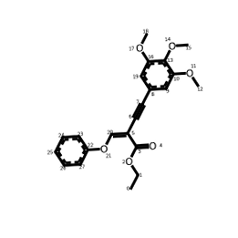 CCOC(=O)C(C#Cc1cc(OC)c(OC)c(OC)c1)=COc1ccccc1